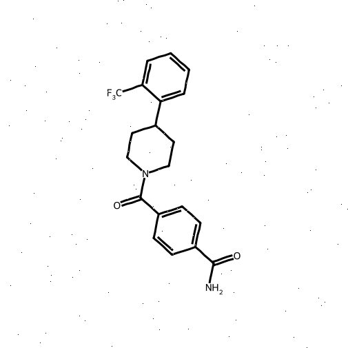 NC(=O)c1ccc(C(=O)N2CCC(c3ccccc3C(F)(F)F)CC2)cc1